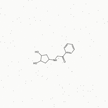 O=C(CNC1CC(O)C(O)C1)c1ccccc1